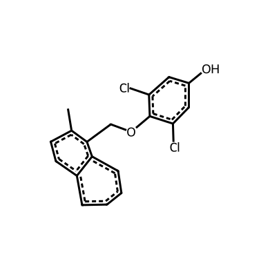 Cc1ccc2ccccc2c1COc1c(Cl)cc(O)cc1Cl